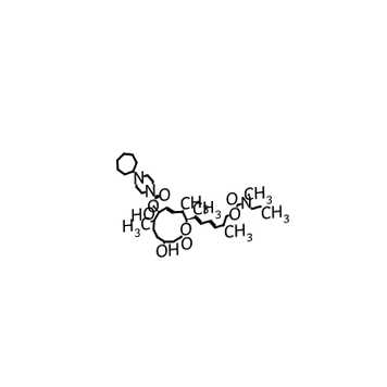 CCCN(C)C(=O)OC[C@@H](C)/C=C/C=C(\C)[C@H]1OC(=O)C[C@@H](O)CC[C@](C)(O)[C@@H](OC(=O)N2CCN(C3CCCCCC3)CC2)/C=C/[C@@H]1C